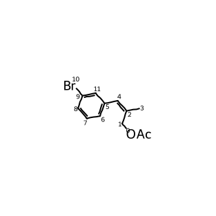 CC(=O)OCC(C)=Cc1cccc(Br)c1